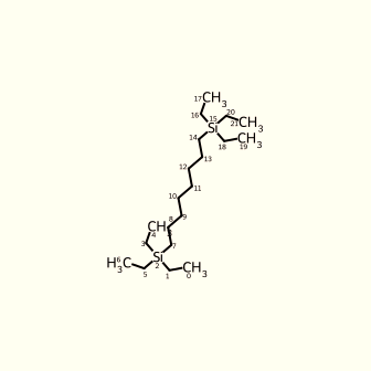 CC[Si](CC)(CC)CCCCCCCC[Si](CC)(CC)CC